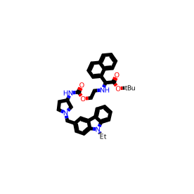 CCn1c2ccccc2c2cc(CN3CCC(NC(=O)OCCNC(C(=O)OC(C)(C)C)c4cccc5ccccc45)C3)ccc21